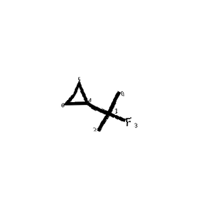 CC(C)(F)C1CC1